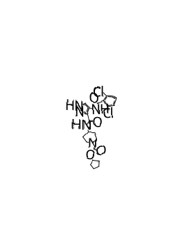 O=C(NC1CCN(C(=O)OC2CCCC2)CC1)c1n[nH]cc1NC(=O)c1c(Cl)cccc1Cl